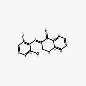 O=C1/C(=C/c2c(Cl)cccc2Cl)CCc2ccccc21